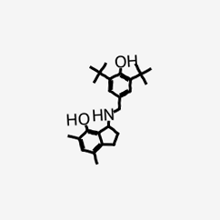 Cc1cc(C)c2c(c1O)C(NCc1cc(C(C)(C)C)c(O)c(C(C)(C)C)c1)CC2